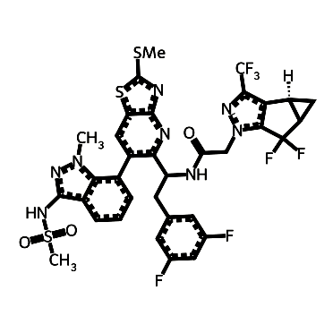 CSc1nc2nc(C(Cc3cc(F)cc(F)c3)NC(=O)Cn3nc(C(F)(F)F)c4c3C(F)(F)C3C[C@H]43)c(-c3cccc4c(NS(C)(=O)=O)nn(C)c34)cc2s1